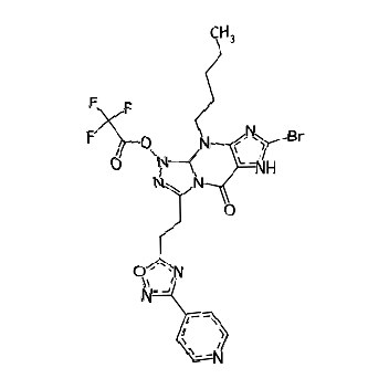 CCCCCN1c2nc(Br)[nH]c2C(=O)N2C(CCc3nc(-c4ccncc4)no3)=NN(OC(=O)C(F)(F)F)C21